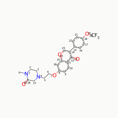 CN1CCN(CCOc2ccc3c(=O)c(-c4ccc(OC(F)(F)F)cc4)coc3c2)CC1=O